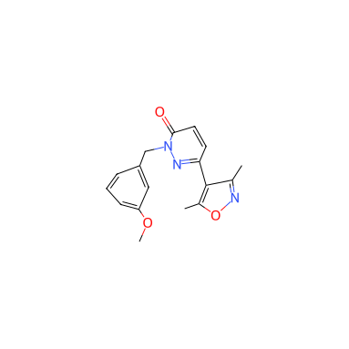 COc1cccc(Cn2nc(-c3c(C)noc3C)ccc2=O)c1